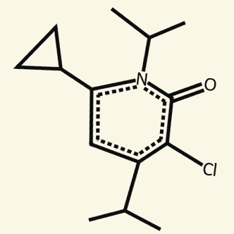 CC(C)c1cc(C2CC2)n(C(C)C)c(=O)c1Cl